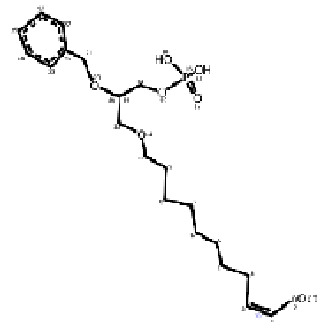 CCCCCCCC/C=C\CCCCCCCCOC[C@H](COP(=O)(O)O)OCc1ccccc1